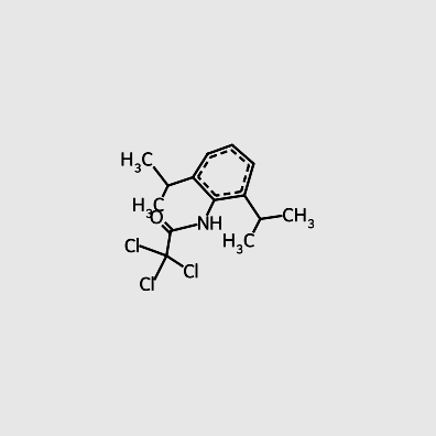 CC(C)c1cccc(C(C)C)c1NC(=O)C(Cl)(Cl)Cl